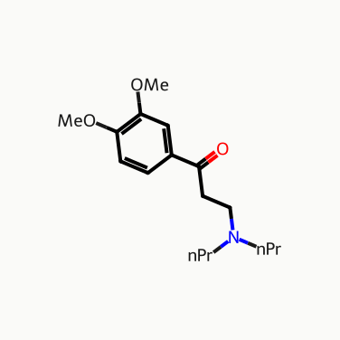 CCCN(CCC)CCC(=O)c1ccc(OC)c(OC)c1